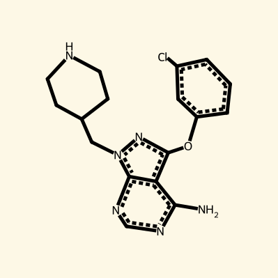 Nc1ncnc2c1c(Oc1cccc(Cl)c1)nn2CC1CCNCC1